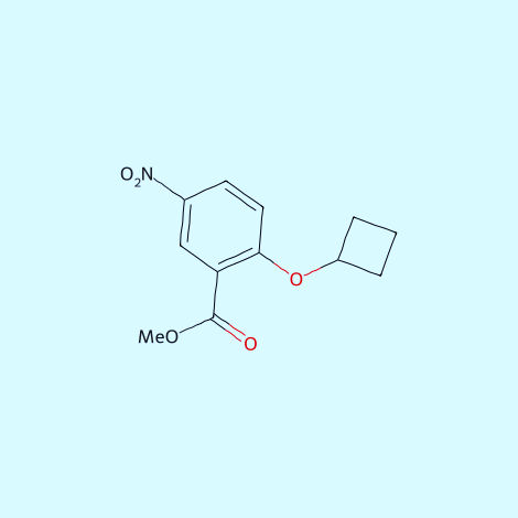 COC(=O)c1cc([N+](=O)[O-])ccc1OC1CCC1